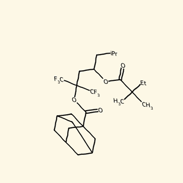 CCC(C)(C)C(=O)OC(CC(C)C)CC(OC(=O)C12CC3CC(CC(C3)C1)C2)(C(F)(F)F)C(F)(F)F